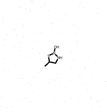 CC1CNN(O)S1